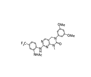 COc1cc(OC)cc(N2Cc3cnc(Nc4ccc(C(F)(F)F)cc4NC(C)=O)nc3N(C)C2=O)c1